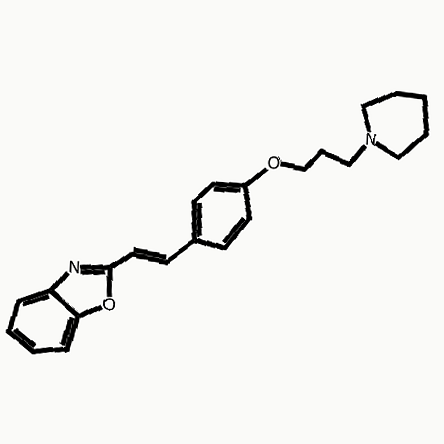 C(=Cc1nc2ccccc2o1)c1ccc(OCCCN2CCCCC2)cc1